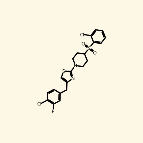 O=S(=O)(c1ccccc1Cl)C1CCN(c2nc(Cc3ccc(Cl)c(F)c3)cs2)CC1